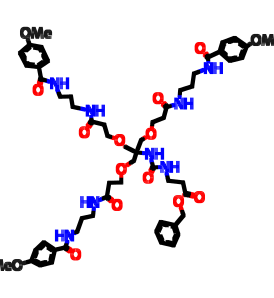 COc1ccc(C(=O)NCCCNC(=O)CCOCC(COCCC(=O)NCCCNC(=O)c2ccc(OC)cc2)(COCCC(=O)NCCCNC(=O)c2ccc(OC)cc2)NC(=O)NCCC(=O)OCc2ccccc2)cc1